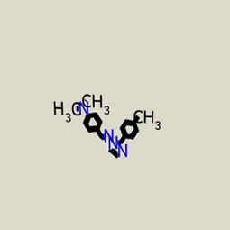 Cc1ccc(-c2nccn2N=Cc2ccc(N(C)C)cc2)cc1